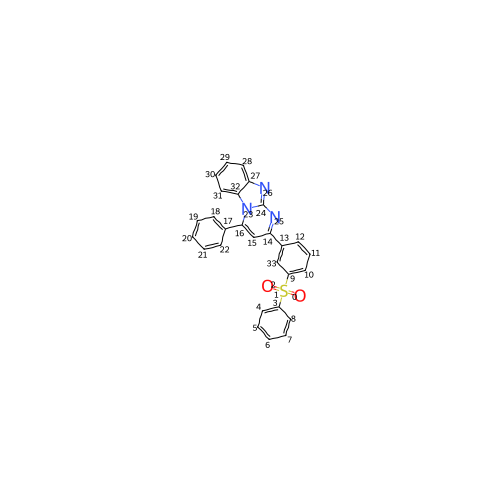 O=S(=O)(c1ccccc1)c1cccc(-c2cc(-c3ccccc3)n3c(n2)nc2ccccc23)c1